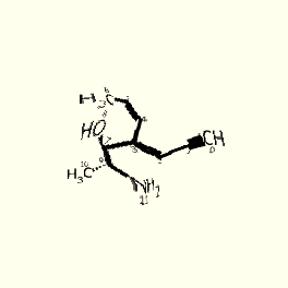 C#C/C=C(\C=C/C)[C@H](O)[C@@H](C)N